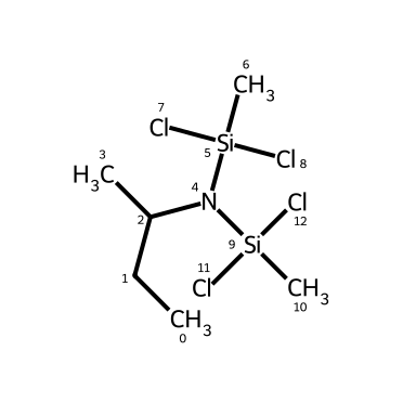 CCC(C)N([Si](C)(Cl)Cl)[Si](C)(Cl)Cl